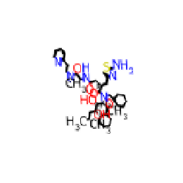 COC1(CN(C(=O)[C@@H](CC(=O)NCC(=O)N(C)CCc2ccccn2)Cc2csc(N)n2)[C@@H](CC2CCCCC2)[C@@H](O)[C@@H](O)CC(C)C)CCCCC1